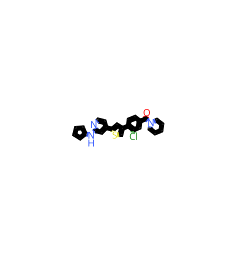 O=C(c1ccc(-c2csc(-c3ccnc(NC4CCCC4)c3)c2)c(Cl)c1)N1CCCCC1